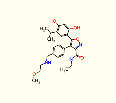 CCNC(=O)c1noc(-c2cc(C(C)C)c(O)cc2O)c1-c1ccc(CNCCOC)cc1